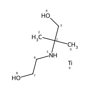 CC(C)(CO)NCCO.[Ti]